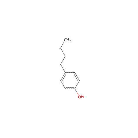 C[CH]CCc1ccc(O)cc1